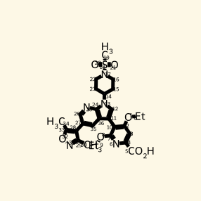 CCOc1cc(C(=O)O)nc(OCC)c1-c1cn(C2CCN(S(C)(=O)=O)CC2)c2ncc(-c3c(C)noc3C)cc12